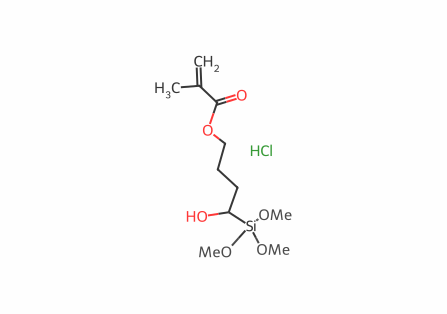 C=C(C)C(=O)OCCCC(O)[Si](OC)(OC)OC.Cl